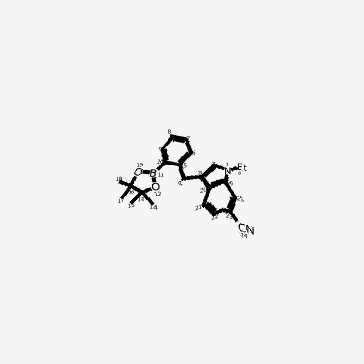 CCn1cc(Cc2ccccc2B2OC(C)(C)C(C)(C)O2)c2ccc(C#N)cc21